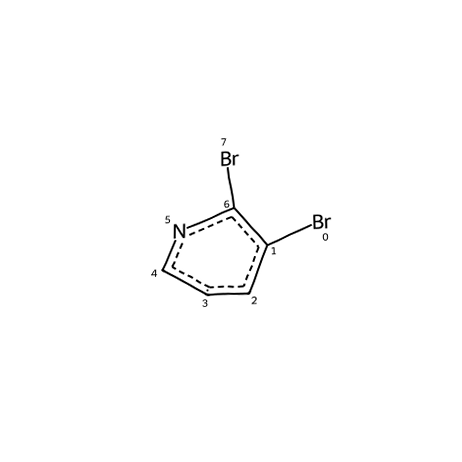 Brc1c[c]cnc1Br